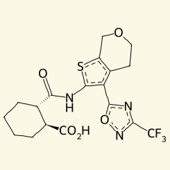 O=C(O)[C@H]1CCCC[C@@H]1C(=O)Nc1sc2c(c1-c1nc(C(F)(F)F)no1)CCOC2